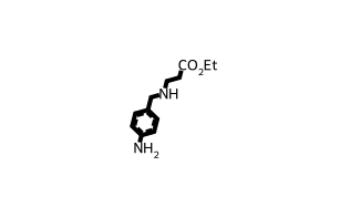 CCOC(=O)CCNCc1ccc(N)cc1